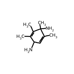 CC1=CC(N)C(C)=C(C)C1(C)N